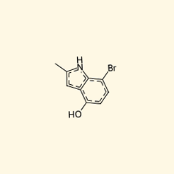 Cc1cc2c(O)ccc(Br)c2[nH]1